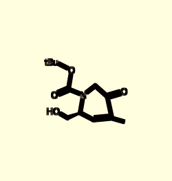 CC1=C[C@@H](CO)N(C(=O)OC(C)(C)C)CC1=O